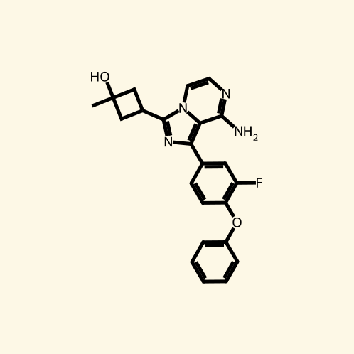 CC1(O)CC(c2nc(-c3ccc(Oc4ccccc4)c(F)c3)c3c(N)nccn23)C1